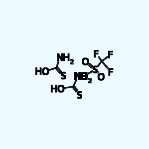 NC(O)=S.NC(O)=S.O=S(=O)(O)C(F)(F)F